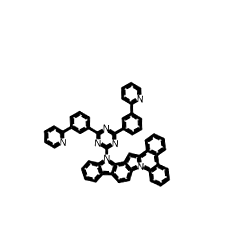 c1ccc(-c2cccc(-c3nc(-c4cccc(-c5ccccn5)c4)nc(-n4c5ccccc5c5ccc6c(cc7c8ccccc8c8ccccc8n76)c54)n3)c2)nc1